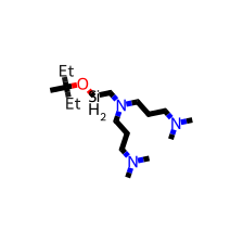 CCC(C)(CC)O[SiH2]CN(CCCN(C)C)CCCN(C)C